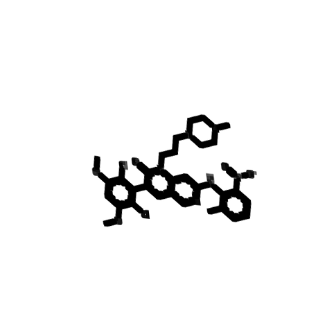 COc1cc(OC)c(Cl)c(-c2cc3cnc(Nc4c(C)cccc4[N+](=O)[O-])cc3n(CCCN3CCN(C)CC3)c2=O)c1Cl